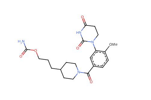 COc1ccc(C(=O)N2CCC(CCCOC(N)=O)CC2)cc1N1CCC(=O)NC1=O